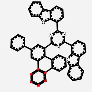 c1ccc(-c2cc(-c3ccccc3)c(-c3ccccc3-c3ccccc3)c(-c3nc(-c4cccc5c4oc4ccccc45)nc(-c4cccc5c4oc4ccccc45)n3)c2)cc1